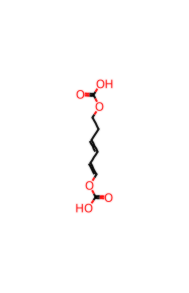 O=C(O)OC=CC=CCCOC(=O)O